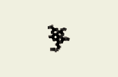 CCCC(=O)O[C@@H]1[C@@H](OC(=O)CCC)[C@H](OC(=O)CCC)C(CCCC(=O)O)O[C@H]1C